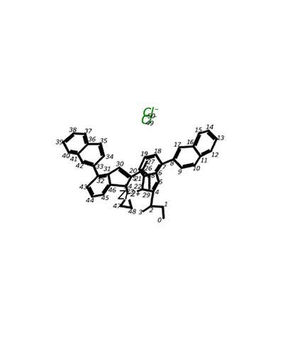 CCC(C)C1=Cc2c(-c3ccc4ccccc4c3)cccc2[CH]1[Zr+2]1([CH]2C(C(C)CC)=Cc3c(-c4ccc5ccccc5c4)cccc32)[CH2][CH2]1.[Cl-].[Cl-]